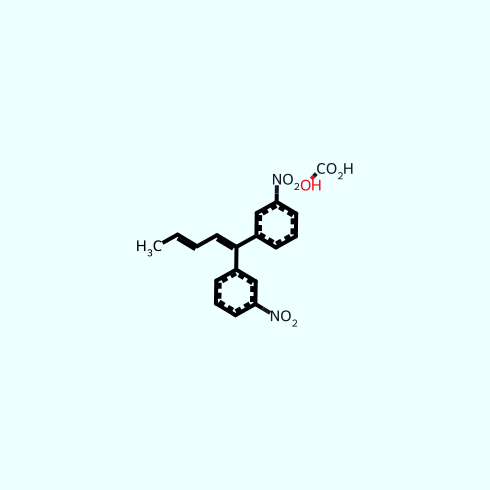 C/C=C/C=C(c1cccc([N+](=O)[O-])c1)c1cccc([N+](=O)[O-])c1.O=C(O)O